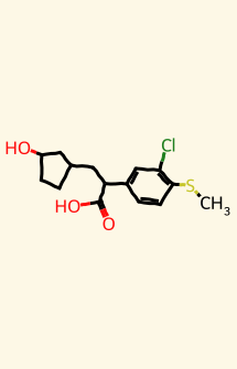 CSc1ccc(C(CC2CCC(O)C2)C(=O)O)cc1Cl